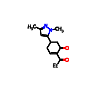 CCC(=O)C1=CCC(c2cc(C)nn2C)CC1=O